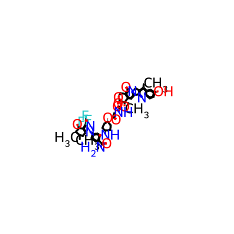 CCc1c2c(nc3ccc(O)cc13)-c1cc3c(c(=O)n1C2)COC(=O)[C@@]3(CC)OC(=O)NCC(=O)O[C@H]1CC[C@H](Nc2cc(-n3nc(C(F)(F)F)c4c3CC(C)(C)CC4=O)ccc2C(N)=O)CC1